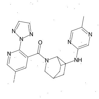 Cc1cnc(-n2nccn2)c(C(=O)N2CC3CCC2C(Nc2cnc(C)cn2)C3)c1